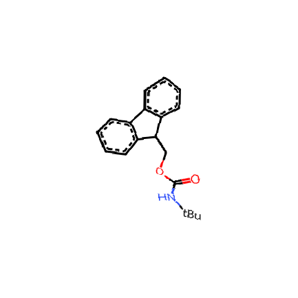 CC(C)(C)NC(=O)OCC1c2ccccc2-c2ccccc21